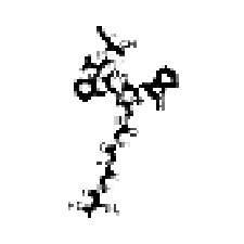 CC[C@H](C)[C@H](NC(=O)[C@@H](NC(=O)[C@H](Cc1ccccc1)NC(=O)[C@H](Cc1c[nH]c2ccccc12)NC(=O)CNC(=O)CNC(=O)CNC(=O)CNC(=O)[C@@H](N)[C@@H](C)O)C(C)C)C(=O)O